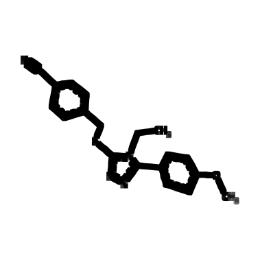 CCn1c(SCc2ccc(C#N)cc2)nnc1-c1ccc(OC)cc1